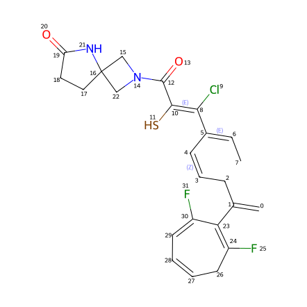 C=C(C\C=C/C(=C\C)C(/Cl)=C(\S)C(=O)N1CC2(CCC(=O)N2)C1)C1=C(F)CC=CC=C1F